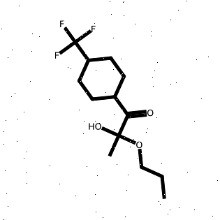 CCCOC(C)(O)C(=O)C1CCC(C(F)(F)F)CC1